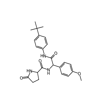 COc1ccc(C(NC(=O)C2CCC(=O)N2)C(=O)Nc2ccc(C(C)(C)C)cc2)cc1